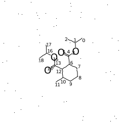 CC(C)OC(=O)C1CCCC(C)C1C(=O)OC(C)C